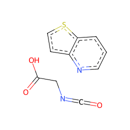 O=C=NCC(=O)O.c1cnc2ccsc2c1